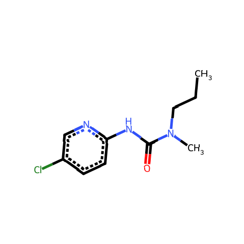 CCCN(C)C(=O)Nc1ccc(Cl)cn1